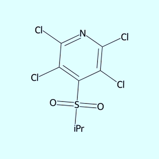 CC(C)S(=O)(=O)c1c(Cl)c(Cl)nc(Cl)c1Cl